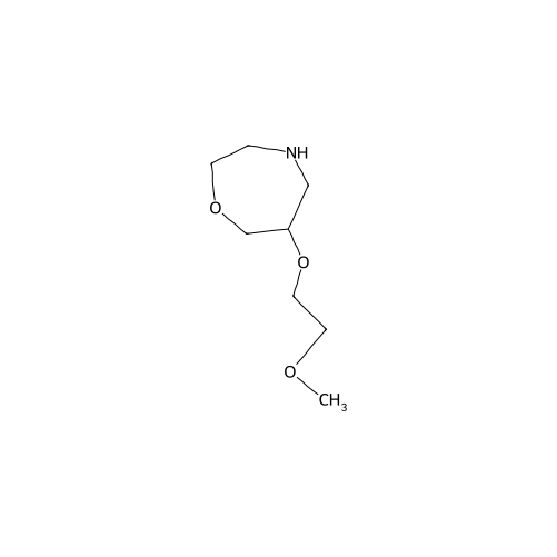 COCCOC1CNCCOC1